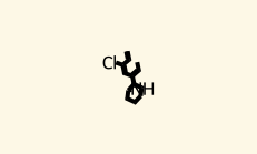 C=C/C(Cl)=C\C(=C/C)C1CC2CCC1N2